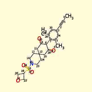 CC#Cc1cc(C)c(C2C(=O)CC3(CCN(S(=O)(=O)C4COC4)CC3)CC2=O)c(C)c1